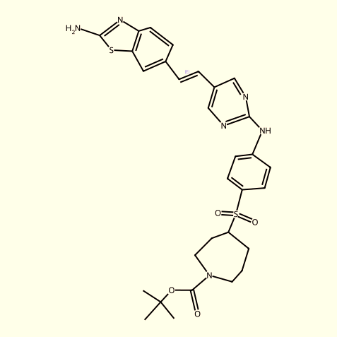 CC(C)(C)OC(=O)N1CCCC(S(=O)(=O)c2ccc(Nc3ncc(/C=C/c4ccc5nc(N)sc5c4)cn3)cc2)CC1